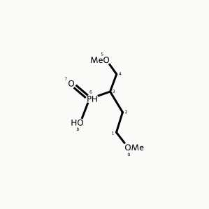 COCCC(COC)[PH](=O)O